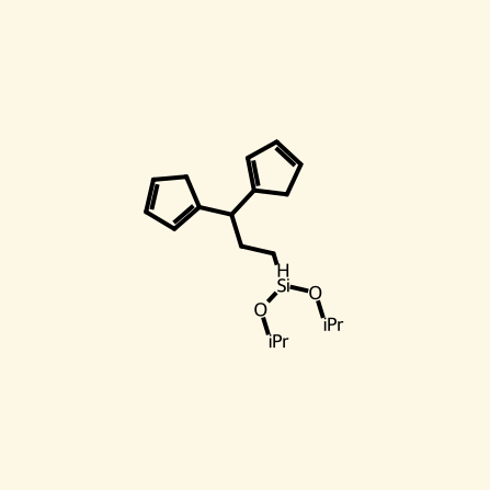 CC(C)O[SiH](CCC(C1=CC=CC1)C1=CC=CC1)OC(C)C